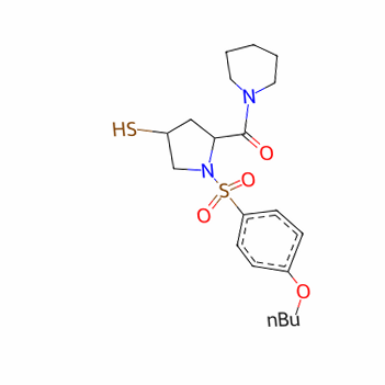 CCCCOc1ccc(S(=O)(=O)N2CC(S)CC2C(=O)N2CCCCC2)cc1